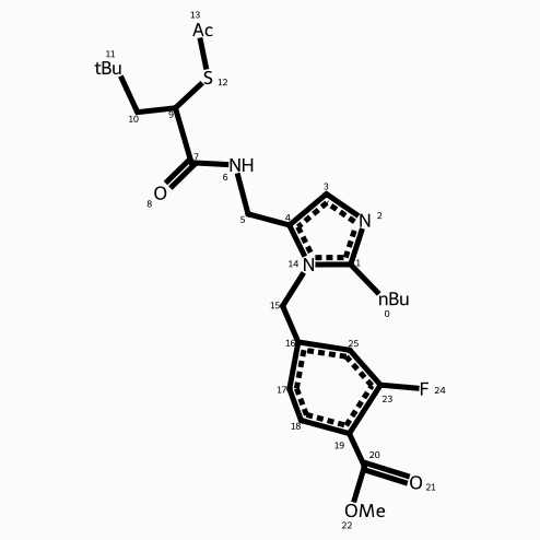 CCCCc1ncc(CNC(=O)C(CC(C)(C)C)SC(C)=O)n1Cc1ccc(C(=O)OC)c(F)c1